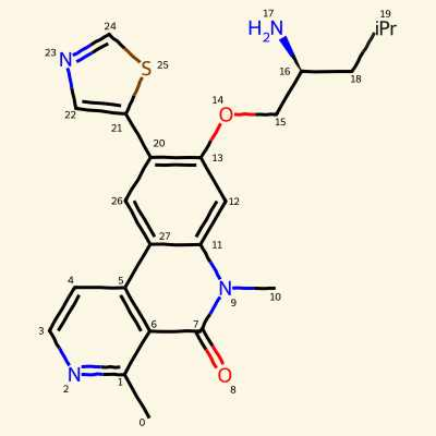 Cc1nccc2c1c(=O)n(C)c1cc(OC[C@@H](N)CC(C)C)c(-c3cncs3)cc21